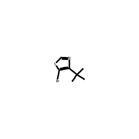 CC(C)(C)c1ncsc1Br